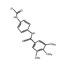 CCC(=O)Nc1ccc(NC(=O)c2cc(OC)c(OC)c(OC)c2)cc1